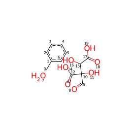 Cc1ccccc1.O.O=CC(O)(C(=O)O)C(O)C(=O)O